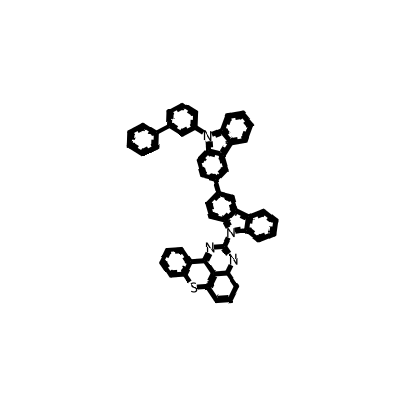 C1=CC2=C3C(=NC(n4c5ccccc5c5cc(-c6ccc7c(c6)c6ccccc6n7-c6cccc(-c7ccccc7)c6)ccc54)=NC3C1)c1ccccc1S2